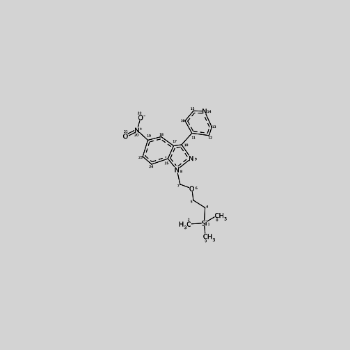 C[Si](C)(C)CCOCn1nc(-c2ccncc2)c2cc([N+](=O)[O-])ccc21